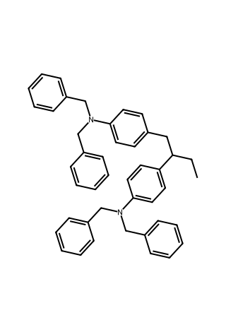 CCC(Cc1ccc(N(Cc2ccccc2)Cc2ccccc2)cc1)c1ccc(N(Cc2ccccc2)Cc2ccccc2)cc1